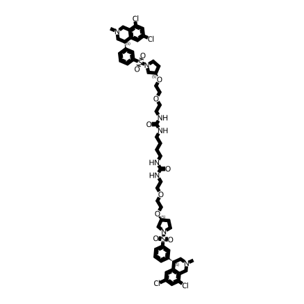 CN1Cc2c(Cl)cc(Cl)cc2[C@H](c2cccc(S(=O)(=O)N3CC[C@H](OCCOCCNC(=O)NCCCCNC(=O)NCCOCCO[C@H]4CCN(S(=O)(=O)c5cccc([C@@H]6CN(C)Cc7c(Cl)cc(Cl)cc76)c5)C4)C3)c2)C1